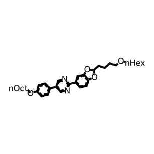 CCCCCCCCOc1ccc(-c2cnc(-c3ccc4c(c3)OC(CCCCOCCCCCC)O4)nc2)cc1